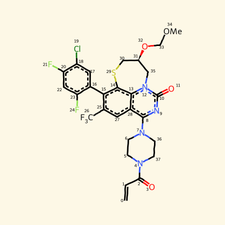 C=CC(=O)N1CCN(c2nc(=O)n3c4c(c(-c5cc(Cl)c(F)cc5F)c(C(F)(F)F)cc24)SC[C@@H](OCOC)C3)CC1